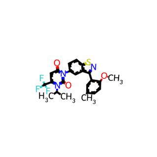 COc1ccc(C)cc1-c1nsc2ccc(-n3c(=O)cc(C(F)(F)F)n(C(C)C)c3=O)cc12